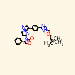 C[Si](C)(C)CCOCn1cnc(-c2ccc(-c3cnn4ccc(N5C(=O)OC[C@@H]5c5ccccc5)nc34)cc2)n1